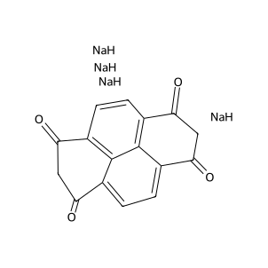 O=C1CC(=O)c2ccc3c4c(ccc1c24)C(=O)CC3=O.[NaH].[NaH].[NaH].[NaH]